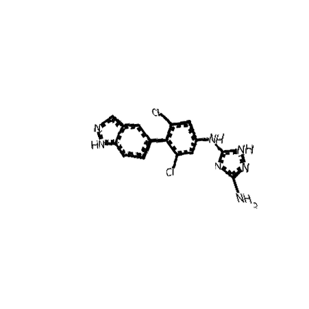 Nc1n[nH]c(Nc2cc(Cl)c(-c3ccc4[nH]ncc4c3)c(Cl)c2)n1